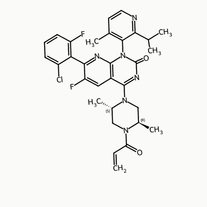 C=CC(=O)N1C[C@H](C)N(c2nc(=O)n(-c3c(C)ccnc3C(C)C)c3nc(-c4c(F)cccc4Cl)c(F)cc23)C[C@H]1C